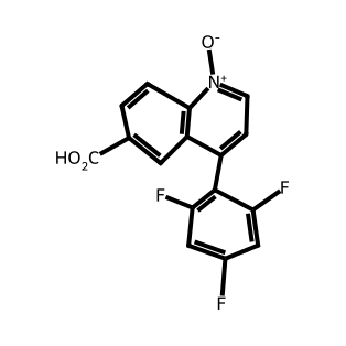 O=C(O)c1ccc2c(c1)c(-c1c(F)cc(F)cc1F)cc[n+]2[O-]